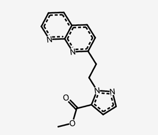 COC(=O)c1ccnn1CCc1ccc2cccnc2n1